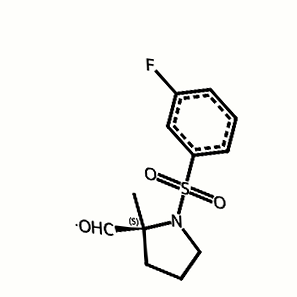 C[C@@]1([C]=O)CCCN1S(=O)(=O)c1cccc(F)c1